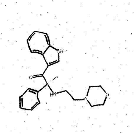 C[C@@](NCCN1CCOCC1)(C(=O)c1c[nH]c2ccccc12)c1ccccc1